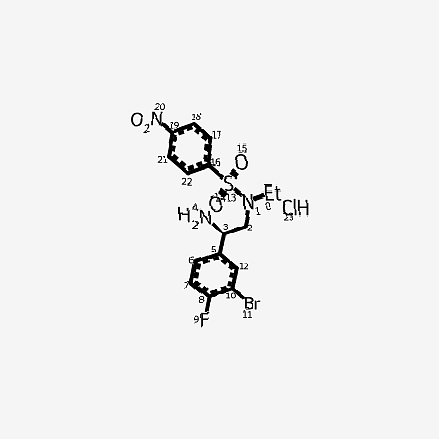 CCN(C[C@H](N)c1ccc(F)c(Br)c1)S(=O)(=O)c1ccc([N+](=O)[O-])cc1.Cl